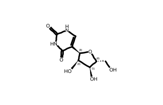 O=c1[nH]cc([C@H]2O[C@H](CO)[C@@H](O)[C@H]2O)c(=O)[nH]1